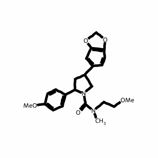 COCCN(C)C(=O)N1CC(c2ccc3c(c2)OCO3)CC1c1ccc(OC)cc1